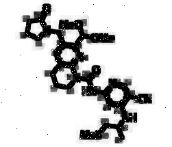 COC(OC)c1nc2c(cc1CN1CCCC1=O)CCCN2C(=O)Nc1cc(NC(C)CSC)c(C#N)cn1